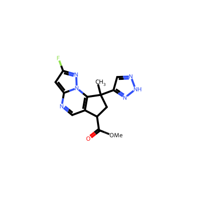 COC(=O)C1CC(C)(c2cn[nH]n2)c2c1cnc1cc(F)nn21